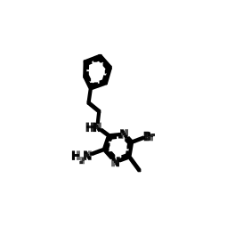 Cc1nc(N)c(NCCc2ccccc2)nc1Br